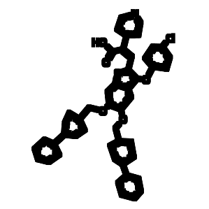 O=C(O)C(=Cc1sc2cc(OCc3ccc(-c4ccccc4)cc3)c(OCc3ccc(-c4ccccc4)cc3)cc2c1Oc1ccc(Cl)cc1)c1ccncc1